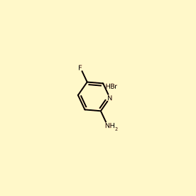 Br.Nc1ccc(F)cn1